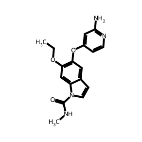 CCOc1cc2c(ccn2C(=O)NC)cc1Oc1ccnc(N)c1